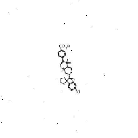 CC1(C)C(c2ccc(C(=O)O)cc2)=CC[C@]2(C)CN(C(=O)C3(c4ccc(Cl)cc4)CCCC3)CC=C12